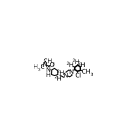 [2H]c1c([2H])c(C)c(Cl)c(N2CCN(CC([2H])([2H])[C@H]3CC[C@H](NC(=O)N(C)C)CC3)CC2)c1[2H]